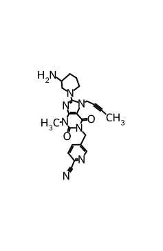 CC#CCn1c(N2CCCC(N)C2)nc2c1c(=O)n(Cc1ccc(C#N)nc1)c(=O)n2C